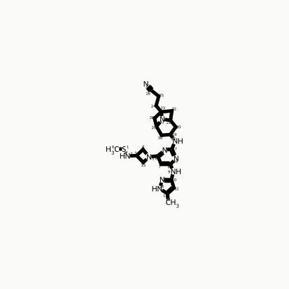 CSNC1CN(c2cc(Nc3cc(C)[nH]n3)nc(NC3CC4CC5(CCC#N)CC(C3)N45)n2)C1